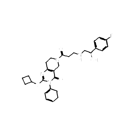 O=C(CCNC[C@H](O)c1ccc(F)cc1)N1CCc2nc(SC3CCC3)n(C3=CC=CCC3)c(=O)c2C1